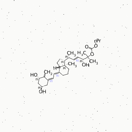 C=C1/C(=C\C=C2/CCC[C@]3(C)[C@@H]([C@H](C)/C=C/[C@@H](O)C(C)(C)OC(=O)OCCC)CC[C@@H]23)C[C@@H](O)C[C@@H]1O